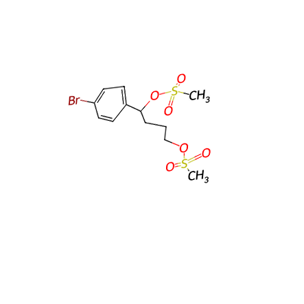 CS(=O)(=O)OCCCC(OS(C)(=O)=O)c1ccc(Br)cc1